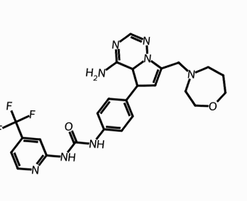 NC1=NC=NN2C(CN3CCCOCC3)=CC(c3ccc(NC(=O)Nc4cc(C(F)(F)F)ccn4)cc3)C12